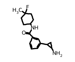 CC1(F)CCC(NC(=O)c2cccc(C3CC3N)c2)CC1